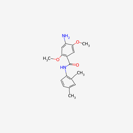 COc1cc(C(=O)Nc2ccc(C)cc2C)c(OC)cc1N